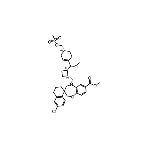 COC(=O)c1ccc2c(c1)N(C[C@@H]1CC[C@H]1C(OC)C1=CC[C@H](COS(C)(=O)=O)CC1)CC1(CCCc3cc(Cl)ccc31)CO2